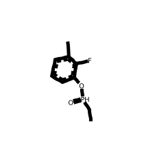 CC[PH](=O)Oc1cccc(C)c1F